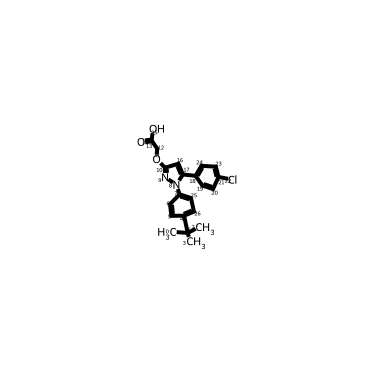 CC(C)(C)c1ccc(-n2nc(OCC(=O)O)cc2-c2ccc(Cl)cc2)cc1